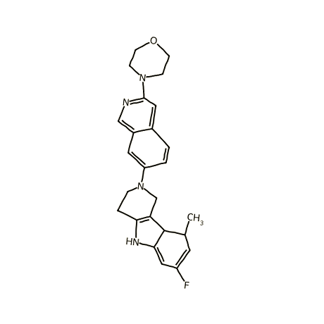 CC1C=C(F)C=C2NC3=C(CN(c4ccc5cc(N6CCOCC6)ncc5c4)CC3)C21